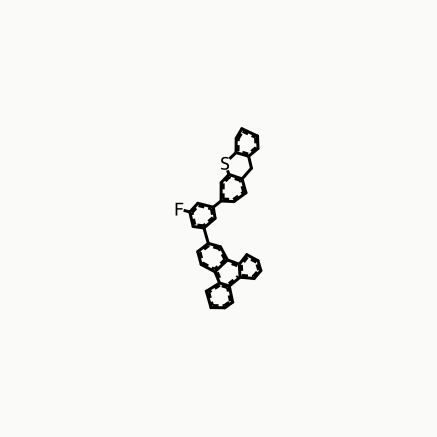 Fc1cc(-c2ccc3c(c2)Sc2ccccc2C3)cc(-c2ccc3c4ccccc4c4ccccc4c3c2)c1